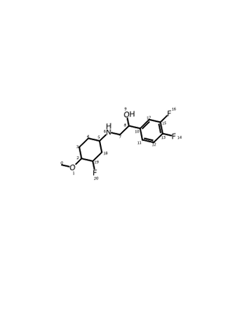 COC1CCC(NCC(O)c2ccc(F)c(F)c2)CC1F